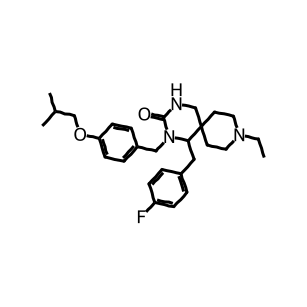 CCN1CCC2(CC1)CNC(=O)N(Cc1ccc(OCC(C)C)cc1)C2Cc1ccc(F)cc1